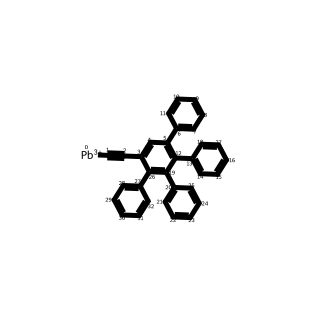 [Pb+3][C]#Cc1cc(-c2ccccc2)c(-c2ccccc2)c(-c2ccccc2)c1-c1ccccc1